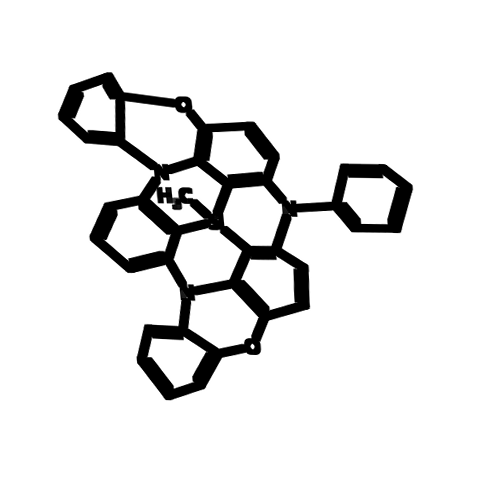 C[Si]12c3c4cccc3N3c5ccccc5Oc5ccc(c1c53)N(c1ccccc1)c1ccc3c(c12)N4c1ccccc1O3